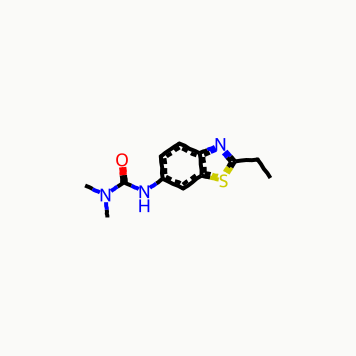 CCc1nc2ccc(NC(=O)N(C)C)cc2s1